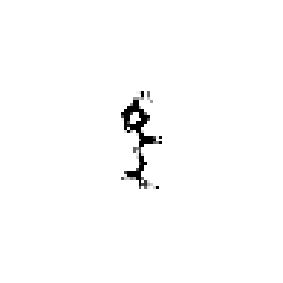 Cc1csc(C(=O)NCC(N)=O)c1